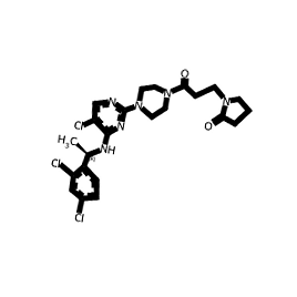 C[C@@H](Nc1nc(N2CCN(C(=O)CCN3CCCC3=O)CC2)ncc1Cl)c1ccc(Cl)cc1Cl